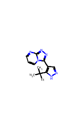 CCC(C)(C)c1[nH]ncc1-c1nnc2ncccn12